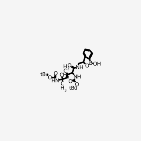 C/C(=C\C(C)(C)NC(=O)OC(C)(C)C)C(NC(=O)OC(C)(C)C)C(=O)NCC1OB(O)c2ccccc21